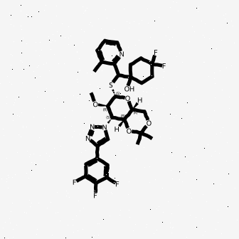 CO[C@@H]1[C@@H](n2cc(-c3cc(F)c(F)c(F)c3)nn2)[C@H]2OC(C)(C)OC[C@H]2O[C@H]1SC(c1ncccc1C)C1(O)CCC(F)(F)CC1